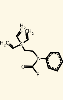 C=C[Si](C=C)(C=C)CCN(C(=O)F)c1ccccc1